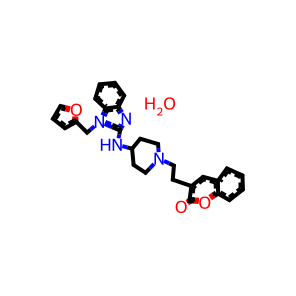 O.O=c1oc2ccccc2cc1CCN1CCC(Nc2nc3ccccc3n2Cc2ccco2)CC1